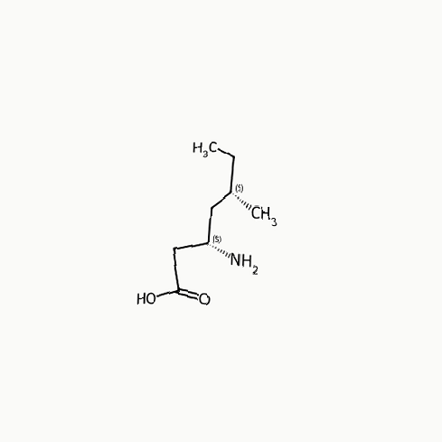 CC[C@H](C)C[C@H](N)CC(=O)O